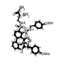 COc1ccc(CNS(=O)(=O)c2c(S(=O)(=O)NC[C@@H](N)C(N)=O)ccc(-c3cccc4[nH]c(N)nc34)c2-c2nnn(Cc3ccc(OC)cc3)n2)cc1